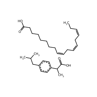 CC(C)Cc1ccc(C(C)C(=O)O)cc1.CC/C=C\C/C=C\C/C=C\CCCCCCCC(=O)O